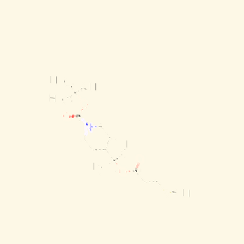 CSCCC(=O)OC(C)(C)C1CCN(C(=O)OC(C)(C)C)CC1